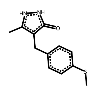 CSc1ccc(Cc2c(C)[nH][nH]c2=O)cc1